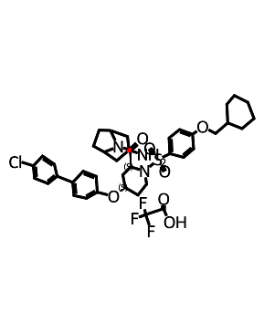 NC1CC2CCC(C1)N2C(=O)[C@@H]1C[C@@H](Oc2ccc(-c3ccc(Cl)cc3)cc2)CCN1S(=O)(=O)c1ccc(OCC2CCCCC2)cc1.O=C(O)C(F)(F)F